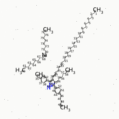 CCCCCCCCCCCCCCCCCCCCCCCCCCCC=CC1=C(c2ccc(CC)cc2)[N+](=[N-])C(c2ccc(CCCCC)cc2)=C1CCCCCC.CCCCCCCC[CH2][Ni][CH2]CCCCCCCC